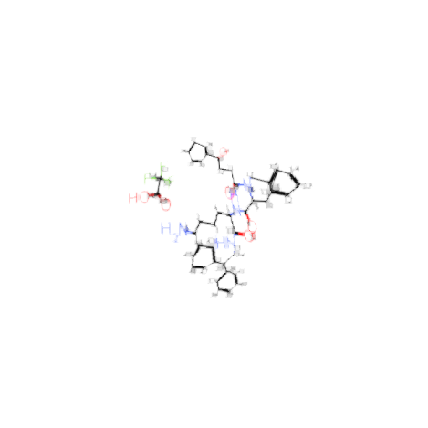 NCCCCC(NC(=O)C1Cc2ccccc2CN1C(=O)CCC(=O)c1ccccc1)C(=O)NCC(c1ccccc1)c1ccccc1.O=C(O)C(F)(F)F